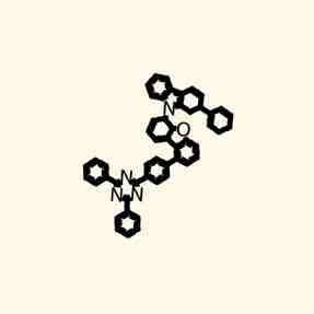 C1=CC(n2c3c(c4ccccc42)C=CC(C2=CCCC=C2)C3)C2Oc3cccc(-c4ccc(-c5nc(-c6ccccc6)nc(-c6ccccc6)n5)cc4)c3C2=C1